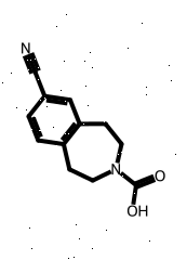 N#Cc1ccc2c(c1)CCN(C(=O)O)CC2